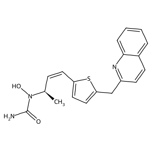 C[C@H](/C=C\c1ccc(Cc2ccc3ccccc3n2)s1)N(O)C(N)=O